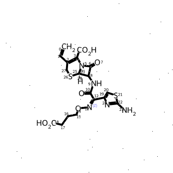 C=CC1=C(C(=O)O)N2C(=O)C(NC(=O)/C(=N\OCCCC(=O)O)c3csc(N)n3)[C@H]2SC1